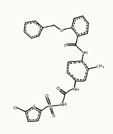 Cc1cc(NC(=O)NS(=O)(=O)c2ccc(Cl)s2)ccc1NC(=O)c1ccccc1OCc1ccccc1